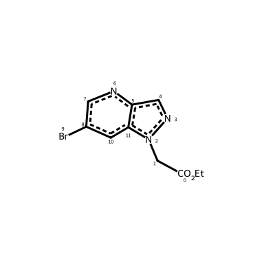 CCOC(=O)Cn1ncc2ncc(Br)cc21